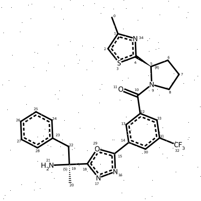 Cc1csc([C@H]2CCCN2C(=O)c2cc(-c3nnc([C@@](C)(N)Cc4ccccc4)o3)cc(C(F)(F)F)c2)n1